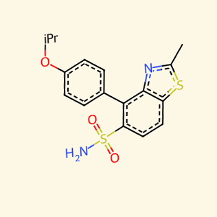 Cc1nc2c(-c3ccc(OC(C)C)cc3)c(S(N)(=O)=O)ccc2s1